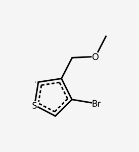 COCc1[c]scc1Br